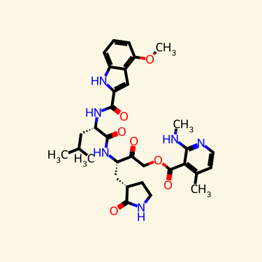 CNc1nccc(C)c1C(=O)OCC(=O)[C@H](C[C@@H]1CCNC1=O)NC(=O)[C@H](CC(C)C)NC(=O)c1cc2c(OC)cccc2[nH]1